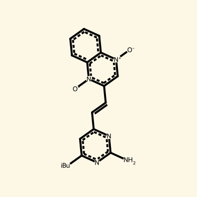 CCC(C)c1cc(C=Cc2c[n+]([O-])c3ccccc3[n+]2[O-])nc(N)n1